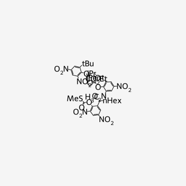 CCCC(C)c1cc([N+](=O)[O-])cc([N+](=O)[O-])c1OC(=O)OC(C)C.CCCCCCC(C)c1cc([N+](=O)[O-])cc([N+](=O)[O-])c1OC(=O)SC.CCOC(=O)Oc1c([N+](=O)[O-])cc([N+](=O)[O-])cc1C(C)(C)C